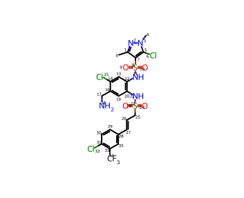 Cc1nn(C)c(Cl)c1S(=O)(=O)Nc1cc(Cl)c(CN)cc1NS(=O)(=O)CC=Cc1ccc(Cl)c(C(F)(F)F)c1